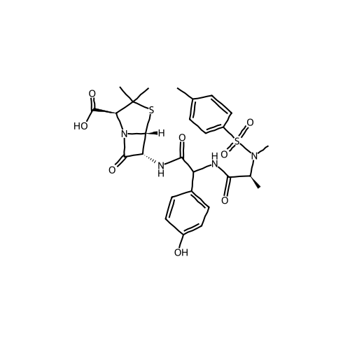 Cc1ccc(S(=O)(=O)N(C)[C@@H](C)C(=O)NC(C(=O)N[C@@H]2C(=O)N3[C@@H]2SC(C)(C)[C@@H]3C(=O)O)c2ccc(O)cc2)cc1